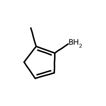 BC1=C(C)CC=C1